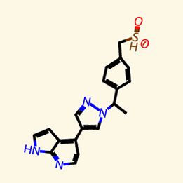 CC(c1ccc(C[SH](=O)=O)cc1)n1cc(-c2ccnc3[nH]ccc23)cn1